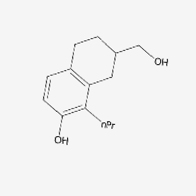 CCCc1c(O)ccc2c1CC(CO)CC2